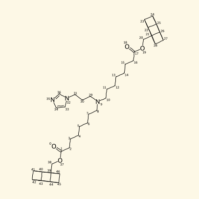 O=C(CCCCCCCN(CCCCCCCC(=O)OCC12C3C4C5C3C1C5C42)CCCn1ccnc1)OCC12C3C4C5C3C1C5C42